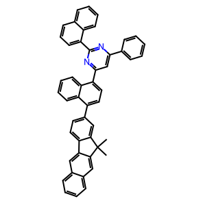 CC1(C)c2cc(-c3ccc(-c4cc(-c5ccccc5)nc(-c5cccc6ccccc56)n4)c4ccccc34)ccc2-c2cc3ccccc3cc21